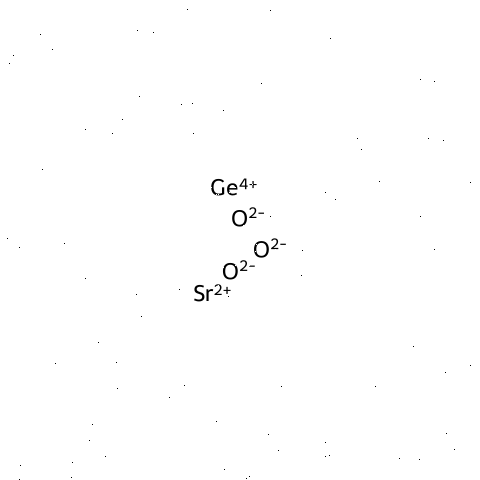 [Ge+4].[O-2].[O-2].[O-2].[Sr+2]